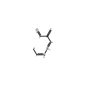 C=C(C=O)/C=B\N=C/C